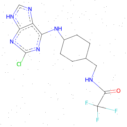 O=C(NCC1CCC(Nc2nc(Cl)nc3[nH]cnc23)CC1)C(F)(F)F